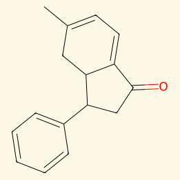 CC1=CC=C2C(=O)CC(c3ccccc3)C2C1